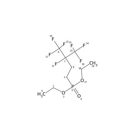 CCOP(=O)(CCC(F)(C(F)(F)F)C(F)(F)F)OCC